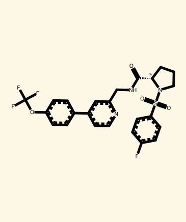 O=C(NCc1cc(-c2ccc(OC(F)(F)F)cc2)ccn1)[C@@H]1CCCN1S(=O)(=O)c1ccc(F)cc1